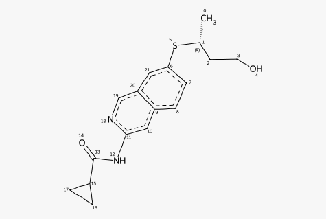 C[C@H](CCO)Sc1ccc2cc(NC(=O)C3CC3)ncc2c1